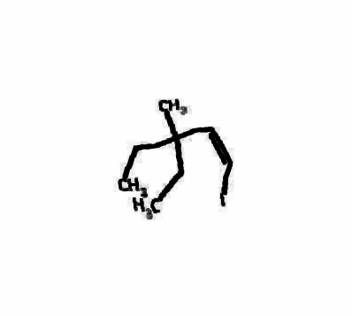 CCC(C)(/C=C\I)CC